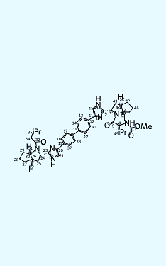 COC(=O)N[C@H](C(=O)N1[C@H](c2nc(-c3ccc(-c4ccc(-c5c[nH]c([C@@H]6C[C@@H]7CCC[C@@H]7N6C(=O)CC(C)C)n5)cc4)cc3)c[nH]2)C[C@@H]2CCC[C@@H]21)C(C)C